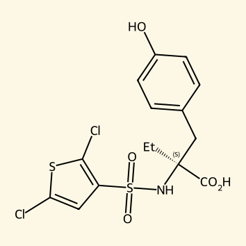 CC[C@@](Cc1ccc(O)cc1)(NS(=O)(=O)c1cc(Cl)sc1Cl)C(=O)O